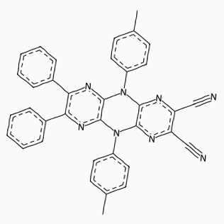 Cc1ccc(N2c3nc(C#N)c(C#N)nc3N(c3ccc(C)cc3)c3nc(-c4ccccc4)c(-c4ccccc4)nc32)cc1